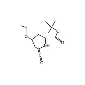 CC(C)(C)OC=O.CCOC1CCNC(=C=O)C1